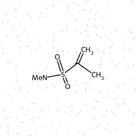 C=C(C)S(=O)(=O)NC